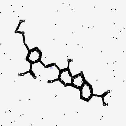 O=C(O)c1ccc2c(c1)nn1c(O)c(/N=N/c3ccc(SOOO)cc3C(=O)O)c(O)nc21